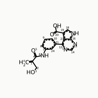 C=C(CO)C(=O)Nc1cccc(-c2ncnc3[nH]cc(C(=O)O)c23)c1